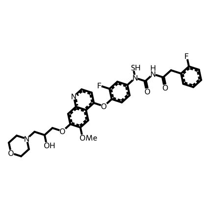 COc1cc2c(Oc3ccc(N(S)C(=O)NC(=O)Cc4ccccc4F)cc3F)ccnc2cc1OCC(O)CN1CCOCC1